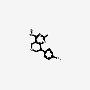 CCNc1nc(Cl)nc2c1COCC2c1ccc(C(F)(F)F)cc1